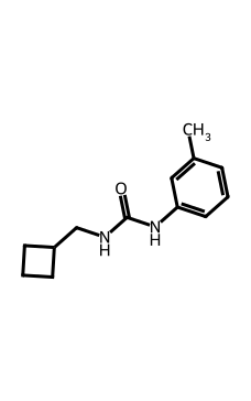 Cc1cccc(NC(=O)NCC2CCC2)c1